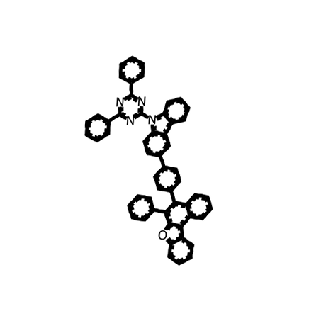 c1ccc(-c2nc(-c3ccccc3)nc(-n3c4ccccc4c4cc(-c5ccc(-c6c(-c7ccccc7)c7oc8ccccc8c7c7ccccc67)cc5)ccc43)n2)cc1